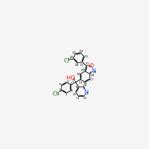 OC(c1ccc(Cl)cc1)(c1cccnc1)c1ccc2noc(-c3cccc(Cl)c3)c2c1